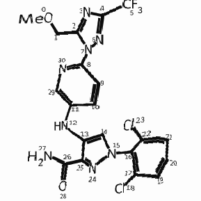 COCc1nc(C(F)(F)F)nn1-c1ccc(Nc2cn(-c3c(Cl)cccc3Cl)nc2C(N)=O)cn1